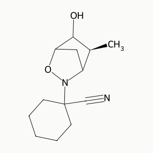 C[C@@H]1C(O)C2CC1N(C1(C#N)CCCCC1)O2